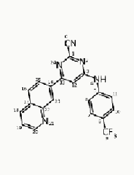 N#Cc1nc(Nc2ccc(C(F)(F)F)cc2)cc(-c2ccc3cccnc3c2)n1